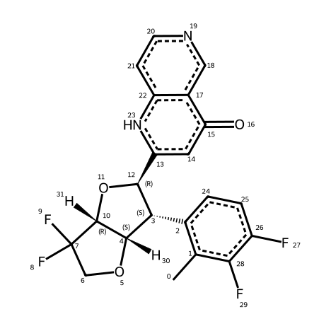 Cc1c([C@@H]2[C@@H]3OCC(F)(F)[C@@H]3O[C@H]2c2cc(=O)c3cnccc3[nH]2)ccc(F)c1F